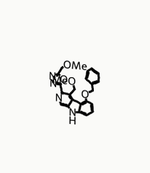 COCc1nnc(-c2ncc3[nH]c4cccc(OCc5ccccc5)c4c3c2COC)o1